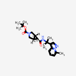 Cc1cccc2c(C(C)(C)NC(=O)[C@H]3[C@@H]4CN(C(=O)OC(C)(C)C)C[C@@H]43)cnn12